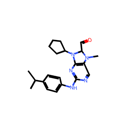 CC(C)c1ccc(Nc2ncc3c(n2)N(C2CCCC2)C(C=O)N3C)cc1